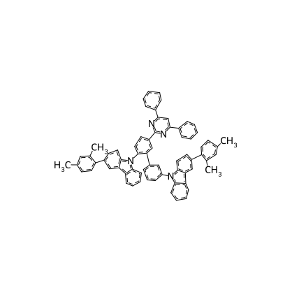 Cc1ccc(-c2ccc3c(c2)c2ccccc2n3-c2cccc(-c3cc(-c4nc(-c5ccccc5)cc(-c5ccccc5)n4)ccc3-n3c4ccccc4c4cc(-c5ccc(C)cc5C)ccc43)c2)c(C)c1